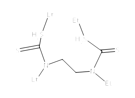 CC[SH2]C(=S)N(CC)CCN(CC)C(=S)[SH2]CC